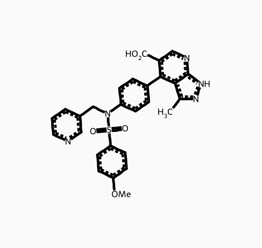 COc1ccc(S(=O)(=O)N(Cc2cccnc2)c2ccc(-c3c(C(=O)O)cnc4[nH]nc(C)c34)cc2)cc1